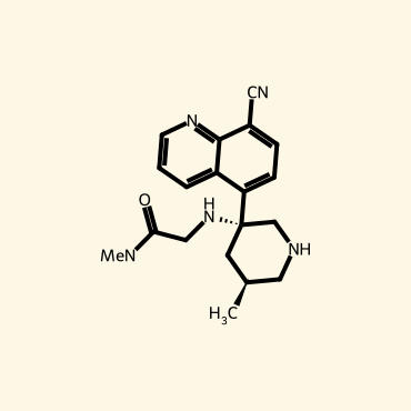 CNC(=O)CN[C@]1(c2ccc(C#N)c3ncccc23)CNC[C@@H](C)C1